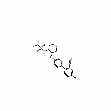 CC(C)S(=O)(=O)N[C@H]1CCCC[C@H]1Oc1ccc(-c2ccc(F)cc2C#N)nc1